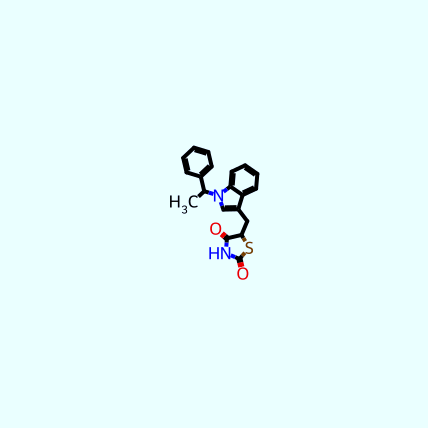 CC(c1ccccc1)n1cc(CC2SC(=O)NC2=O)c2ccccc21